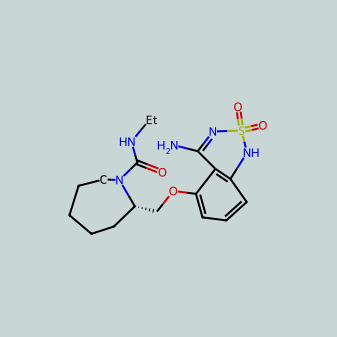 CCNC(=O)N1CCCCC[C@H]1COc1cccc2c1C(N)=NS(=O)(=O)N2